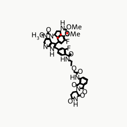 COC(=O)N[C@@H]1CC[C@@H](n2c(=O)n(C)c3cnc4[nH]c(-c5ccc(C(=O)NCCOCC(=O)Nc6cccc7c6C(=O)N(C6CCC(=O)NC6=O)C7=O)c(F)c5)c(-c5ccc(OC)c(F)c5)c4c32)C1